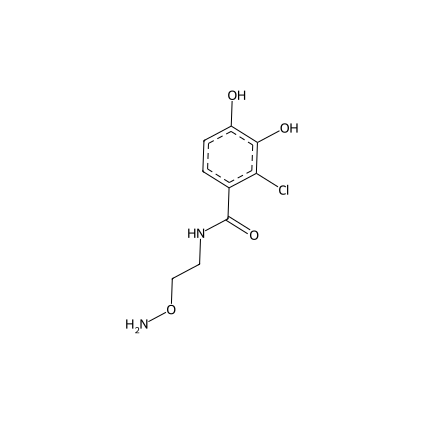 NOCCNC(=O)c1ccc(O)c(O)c1Cl